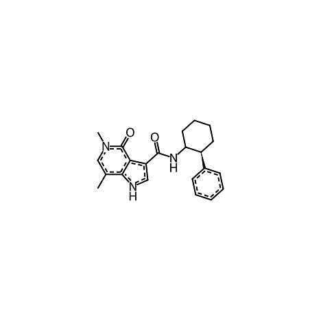 Cc1cn(C)c(=O)c2c(C(=O)NC3CCCC[C@H]3c3ccccc3)c[nH]c12